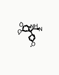 COc1ccc(-c2c(C#N)[nH]c3cc(OC)c(OC)cc23)cc1